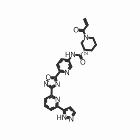 C=CC(=O)N1CCC[C@H](C(=O)Nc2ccc(-c3nc(-c4cccc(-c5ccn[nH]5)n4)no3)nc2)C1